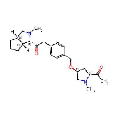 CC(=O)[C@@H]1C[C@H](OCc2ccc(CC(=O)[C@@H]3[C@@H]4CCC[C@@H]4CN3C)cc2)CN1C